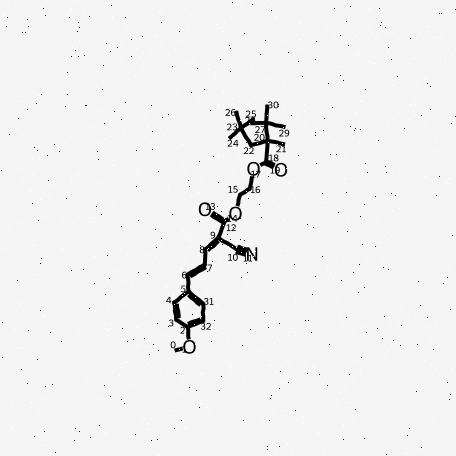 COc1ccc(/C=C/C=C(\C#N)C(=O)OCCOC(=O)C(C)(CC(C)(C)C)C(C)(C)C)cc1